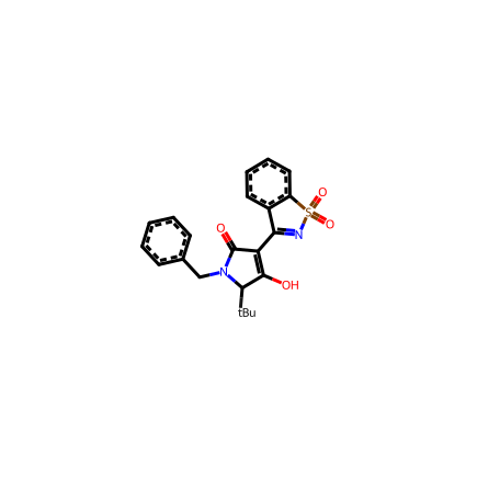 CC(C)(C)C1C(O)=C(C2=NS(=O)(=O)c3ccccc32)C(=O)N1Cc1ccccc1